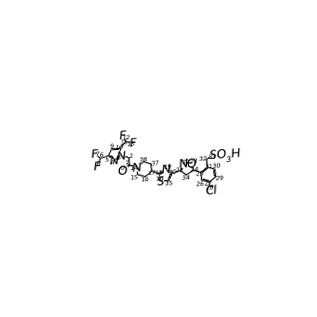 O=C(Cn1nc(C(F)F)cc1C(F)F)N1CCC(c2nc(C3=NOC(c4cc(Cl)ccc4CS(=O)(=O)O)C3)cs2)CC1